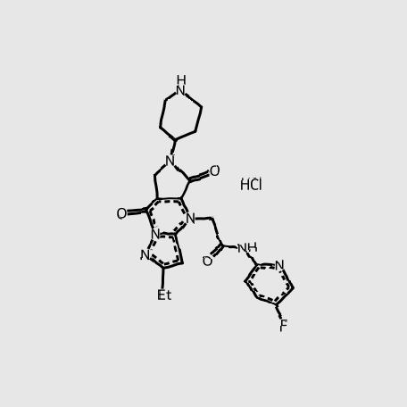 CCc1cc2n(CC(=O)Nc3ccc(F)cn3)c3c(c(=O)n2n1)CN(C1CCNCC1)C3=O.Cl